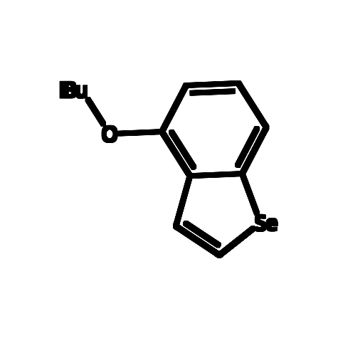 CCC(C)Oc1cccc2[se]ccc12